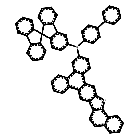 c1ccc(-c2ccc(N(c3ccc4c(c3)-c3ccccc3C43c4ccccc4-c4ccccc43)c3ccc4c(c3)c3ccccc3c3cc5c(cc43)oc3c4ccccc4ccc53)cc2)cc1